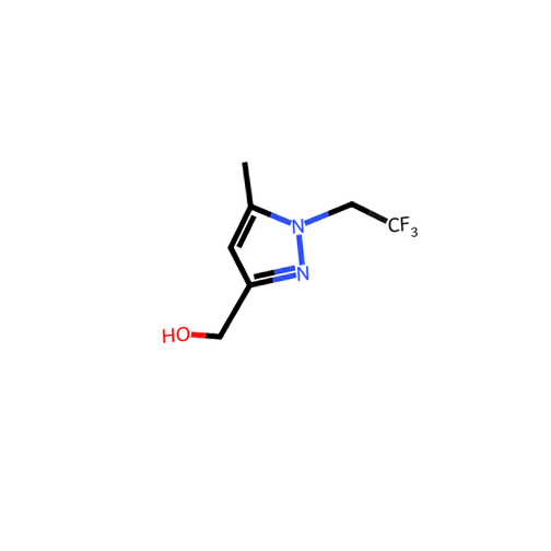 Cc1cc(CO)nn1CC(F)(F)F